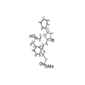 COC(=O)CCC/C=C\C[C@@H]1[C@H](F)CC(c2ccccc2)[C@H]1/C=C/C(O)C(C)c1ccccc1